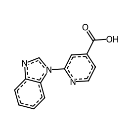 O=C(O)c1ccnc(-n2cnc3ccccc32)c1